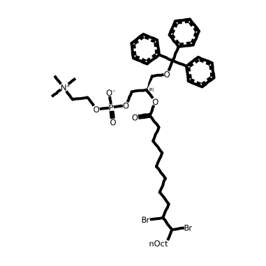 CCCCCCCCC(Br)C(Br)CCCCCCCC(=O)O[C@H](COC(c1ccccc1)(c1ccccc1)c1ccccc1)COP(=O)([O-])OCC[N+](C)(C)C